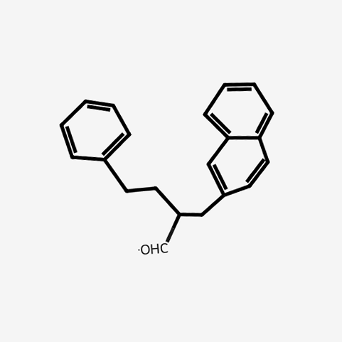 O=[C]C(CCc1ccccc1)Cc1ccc2ccccc2c1